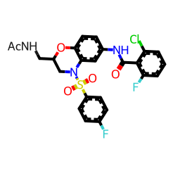 CC(=O)NCC1CN(S(=O)(=O)c2ccc(F)cc2)c2cc(NC(=O)c3c(F)cccc3Cl)ccc2O1